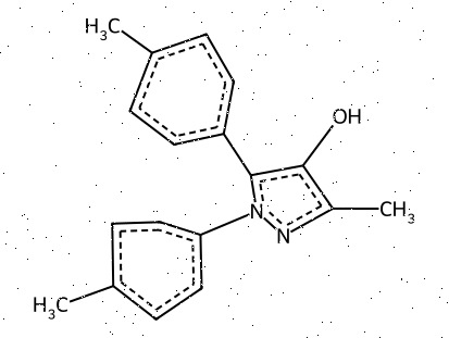 Cc1ccc(-c2c(O)c(C)nn2-c2ccc(C)cc2)cc1